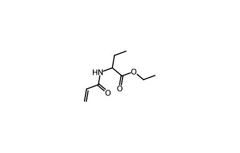 C=CC(=O)NC(CC)C(=O)OCC